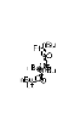 CCCCC(CC)COC(=O)C=CC(=O)[O][Sn]([CH2]CCC)([CH2]CCC)[S]CC(=O)OCC(CC)CCCC